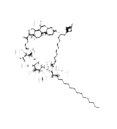 CCCCCCCCCCCCCC[C@@H](O)[C@@H](O)[C@H](CO[C@H]1O[C@H](COC(=O)[C@@H](NC(=O)CC[C@@H](C)C2CCC3C4C(CC[C@@]32C)[C@@]2(C)CC[C@@H](O)CC2C[C@H]4O)C(C)C)[C@H](O)[C@H](O)[C@H]1O)NC(=O)CCCCCCCCCCC12CC(F)(C1)C2